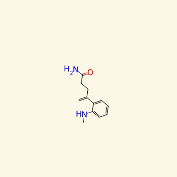 C=C(CCC(N)=O)c1ccccc1NC